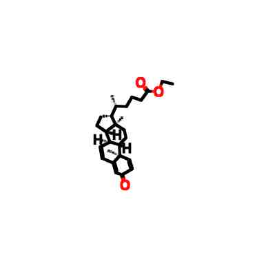 CCOC(=O)CCC[C@@H](C)[C@H]1CC[C@H]2[C@@H]3C=CC4=CC(=O)C=C[C@]4(C)[C@H]3CC[C@]12C